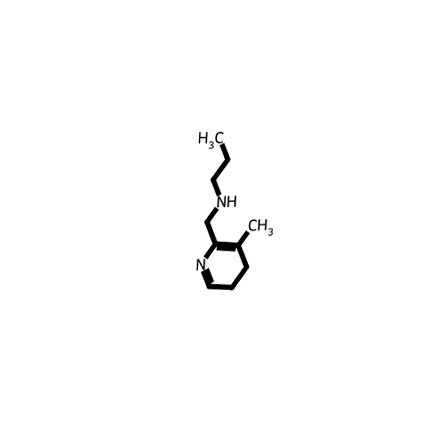 CCCNCC1=C(C)CCC=N1